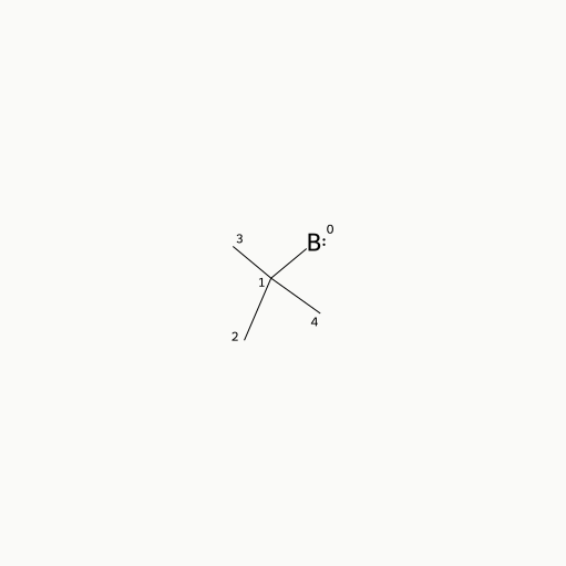 [B]C(C)(C)C